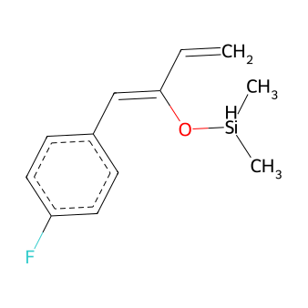 C=CC(=Cc1ccc(F)cc1)O[SiH](C)C